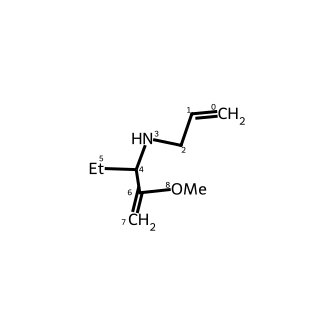 C=CCNC(CC)C(=C)OC